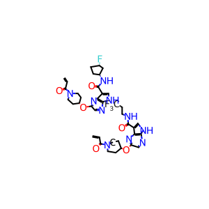 C=CC(=O)N1CCC(Oc2cnc3[nH]cc(C(=O)NCCC(F)(F)F)c3n2)CC1.C=CC(=O)N1CCC(Oc2cnc3[nH]cc(C(=O)N[C@@H]4CC[C@H](F)C4)c3n2)CC1